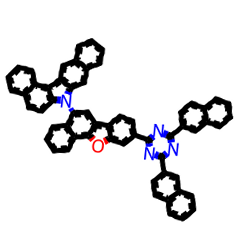 c1ccc2cc(-c3nc(-c4ccc5ccccc5c4)nc(-c4ccc5c(c4)oc4c6ccccc6c(-n6c7cc8ccccc8cc7c7c8ccccc8ccc76)cc54)n3)ccc2c1